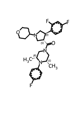 C[C@@H]1CN(C(=O)[C@@H]2CN(C3CCOCC3)C[C@H]2c2ccc(F)cc2F)C[C@H](C)N1c1ccc(F)cc1